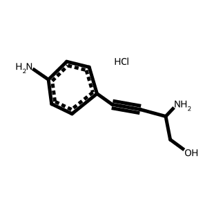 Cl.Nc1ccc(C#CC(N)CO)cc1